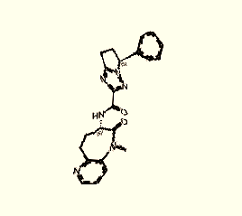 CN1C(=O)[C@@H](NC(=O)c2nc3n(n2)[C@H](c2ccccc2)CC3)CCc2ncccc21